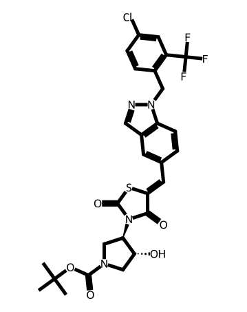 CC(C)(C)OC(=O)N1C[C@@H](O)[C@H](N2C(=O)SC(=Cc3ccc4c(cnn4Cc4ccc(Cl)cc4C(F)(F)F)c3)C2=O)C1